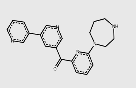 O=C(c1cncc(-c2cccnc2)c1)c1cccc(N2CCCNCC2)n1